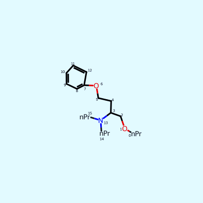 CCCOCC(CCOc1ccccc1)N(CCC)CCC